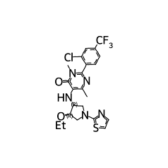 CCO[C@@H]1CN(c2nccs2)C[C@H]1Nc1c(C)nc(-c2ccc(C(F)(F)F)cc2Cl)n(C)c1=O